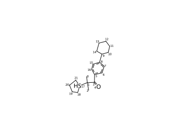 CC(C)(C(=O)c1ccc(C2CCCCC2)cc1)[SH]1CCCC1